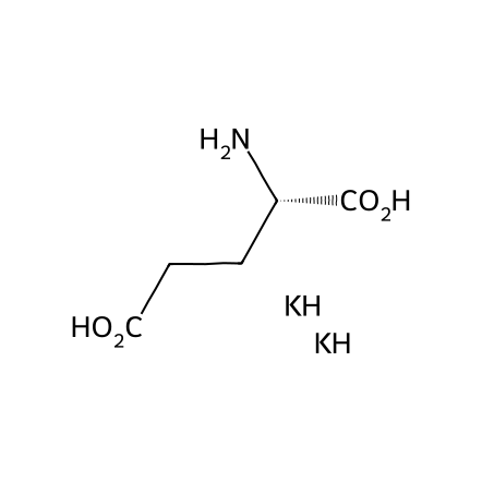 N[C@@H](CCC(=O)O)C(=O)O.[KH].[KH]